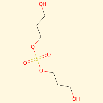 O=S(=O)(OCCCO)OCCCO